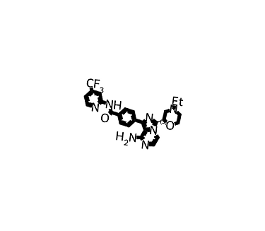 CCN1CCO[C@H](c2nc(-c3ccc(C(=O)Nc4cc(C(F)(F)F)ccn4)cc3)c3c(N)nccn23)C1